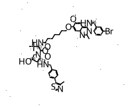 COc1cc2c(N[C@H](C)c3cccc(Br)c3)nc(C)nc2cc1OCCCCCCC(=O)N[C@H](C(=O)N1C[C@H](O)C[C@H]1C(=O)NCc1ccc(-c2scnc2C)cc1)C(C)(C)C